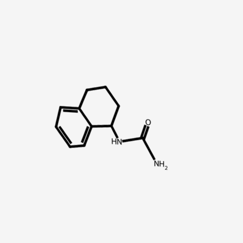 NC(=O)NC1CCCc2ccccc21